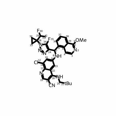 COc1nccc2c(C(Nc3cc(Cl)c4ncc(C#N)c(NCC(C)(C)C)c4c3)c3nnn(C4(C(F)F)CC4)c3F)cccc12